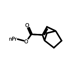 CCCOC(=O)C1=CC2CCC1C2